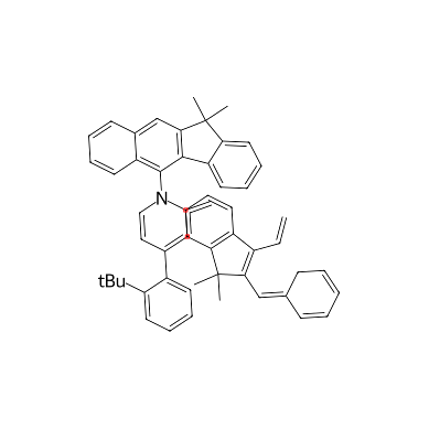 C=C/C=C(\C=C/N(c1ccc2c(c1)C(C)(C)C(/C=C1/C=CC=CC1)=C2C=C)c1c2c(cc3ccccc13)C(C)(C)c1ccccc1-2)c1ccccc1C(C)(C)C